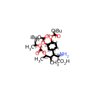 CC(C)COC(=O)Oc1ccc(C(C(C)C(C)OC(=O)OC(C)C(C)C)[C@H](N)C(=O)O)cc1OC(=O)OCC(C)C